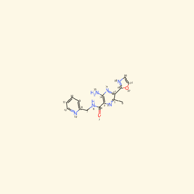 Cc1nc(C(=O)NCc2ccccn2)c(N)nc1-c1ncco1